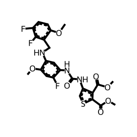 COC(=O)c1scc(NC(=O)Nc2cc(NCc3c(OC)ccc(F)c3F)c(OC)cc2F)c1C(=O)OC